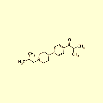 CC(C)CN1CCC(c2ccc(C(=O)C(C)C)cc2)CC1